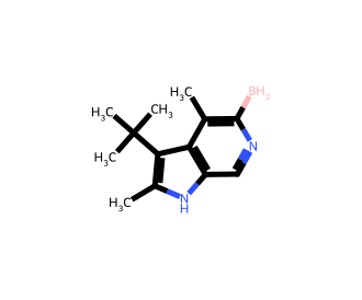 Bc1ncc2[nH]c(C)c(C(C)(C)C)c2c1C